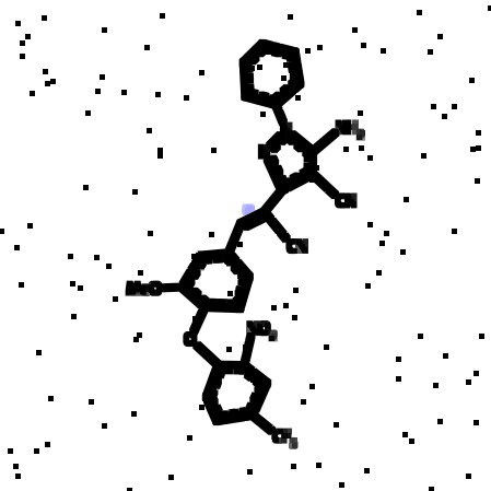 COc1cc(/C=C(\C#N)c2nn(-c3ccccc3)c(N)c2C#N)ccc1Oc1ccc(C(F)(F)F)cc1[N+](=O)[O-]